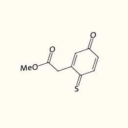 COC(=O)CC1=CC(=O)C=CC1=S